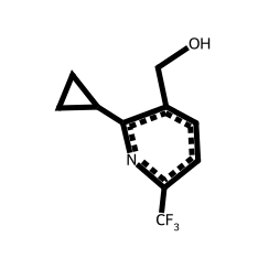 OCc1ccc(C(F)(F)F)nc1C1CC1